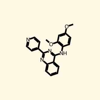 COc1ccc(Nc2nc(-c3ccncc3)nc3ccccc23)c(OC)c1